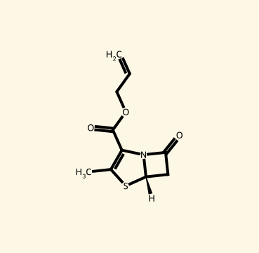 C=CCOC(=O)C1=C(C)S[C@H]2CC(=O)N12